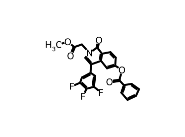 COC(=O)Cn1cc(-c2cc(F)c(F)c(F)c2)c2cc(OC(=O)c3ccccc3)ccc2c1=O